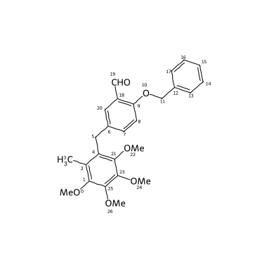 COc1c(C)c(Cc2ccc(OCc3ccccc3)c(C=O)c2)c(OC)c(OC)c1OC